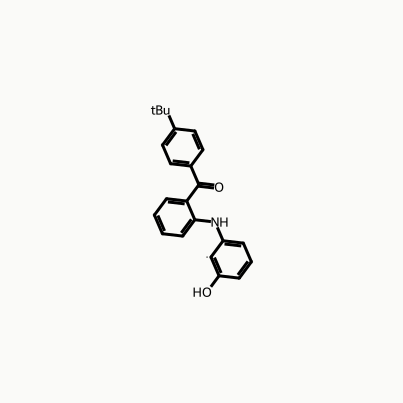 CC(C)(C)c1ccc(C(=O)c2ccccc2Nc2[c]c(O)ccc2)cc1